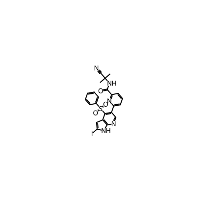 CC(C)(C#N)NC(=O)c1cccc(-c2cnc3[nH]c(I)cc3c2S(=O)(=O)c2ccccc2)n1